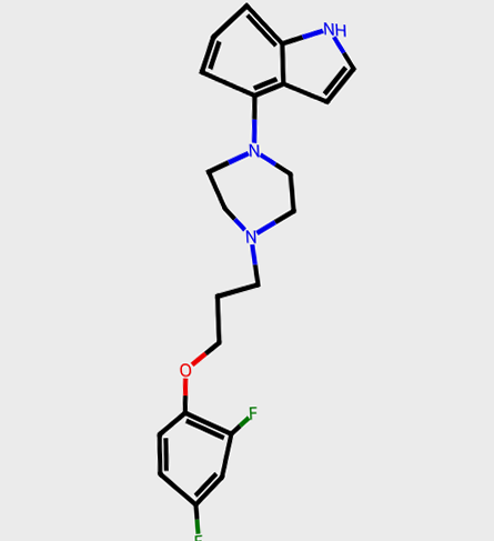 Fc1ccc(OCCCN2CCN(c3cccc4[nH]ccc34)CC2)c(F)c1